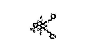 CCOC(=O)C1=C(COCCc2cccnc2)NC(COCCc2cccnc2)=C(C(=O)OCC)C1c1cccc([N+](=O)[O-])c1